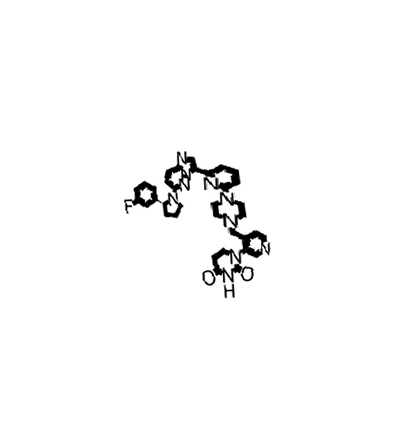 O=C1CCN(c2cnccc2CN2CCN(c3cccc(-c4cnc5ccc(N6CCC[C@@H]6c6cccc(F)c6)nn45)n3)CC2)C(=O)N1